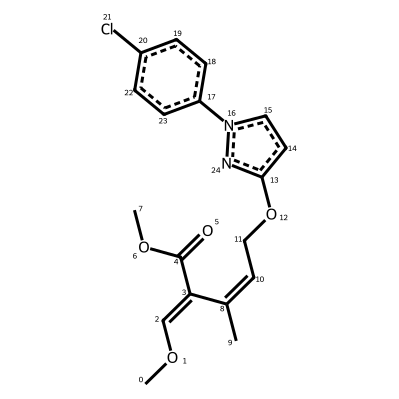 CO/C=C(C(=O)OC)\C(C)=C/COc1ccn(-c2ccc(Cl)cc2)n1